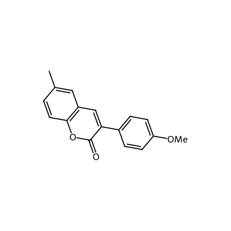 COc1ccc(-c2cc3cc(C)ccc3oc2=O)cc1